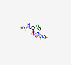 CN1CCN(c2cc3c(cc2F)c(=O)c(-c2noc(Cc4ccccc4CNC(=O)O)n2)cn3Cc2ccc(Cl)cc2)CC1